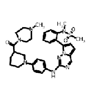 CN1CCN(C(=O)C2CCCN(c3ccc(Nc4ncc5ccc(-c6ccccc6N(C)S(C)(=O)=O)n5n4)cc3)C2)CC1